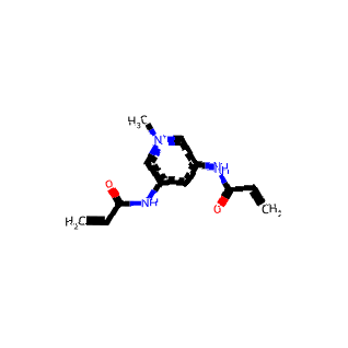 C=CC(=O)Nc1cc(NC(=O)C=C)c[n+](C)c1